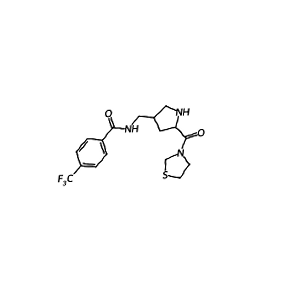 O=C(NCC1CNC(C(=O)N2CCSC2)C1)c1ccc(C(F)(F)F)cc1